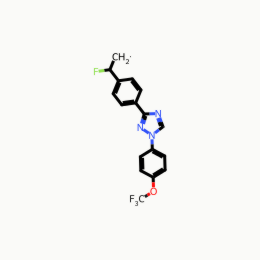 [CH2]C(F)c1ccc(-c2ncn(-c3ccc(OC(F)(F)F)cc3)n2)cc1